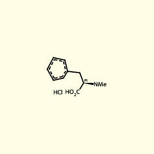 CN[C@H](Cc1ccccc1)C(=O)O.Cl